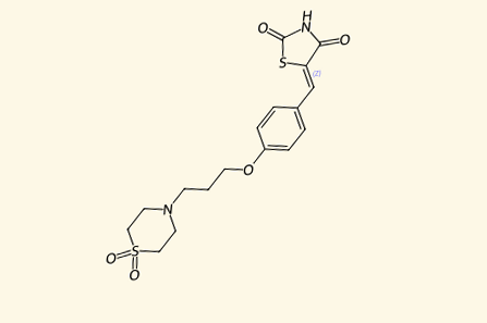 O=C1NC(=O)/C(=C/c2ccc(OCCCN3CCS(=O)(=O)CC3)cc2)S1